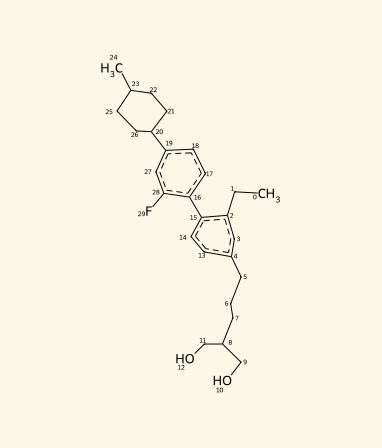 CCc1cc(CCCC(CO)CO)ccc1-c1ccc(C2CCC(C)CC2)cc1F